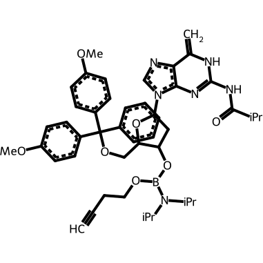 C#CCCOB(OC1CC(n2cnc3c2N=C(NC(=O)C(C)C)NC3=C)OC1COC(c1ccccc1)(c1ccc(OC)cc1)c1ccc(OC)cc1)N(C(C)C)C(C)C